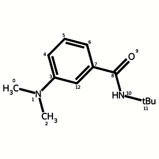 CN(C)c1cccc(C(=O)NC(C)(C)C)c1